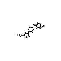 CC(C)[C@H](CC(=O)N1CCC(Oc2ccc(Cl)cc2)CC1)C(=O)O